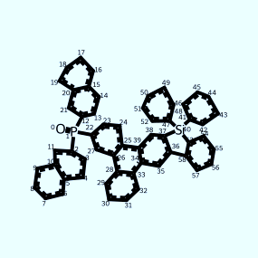 O=P(c1ccc2ccccc2c1)(c1ccc2ccccc2c1)c1ccc2c(c1)c1ccccc1c1cc3c(cc21)[Si](c1ccccc1)(c1ccccc1)c1ccccc1-3